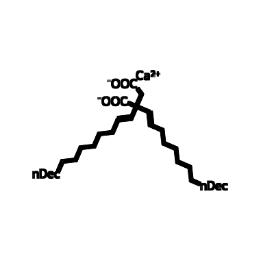 CCCCCCCCCCCCCCCCC=CC(C=CCCCCCCCCCCCCCCCC)(CC(=O)[O-])C(=O)[O-].[Ca+2]